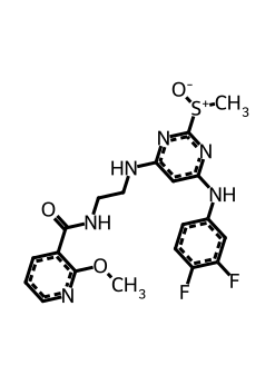 COc1ncccc1C(=O)NCCNc1cc(Nc2ccc(F)c(F)c2)nc([S+](C)[O-])n1